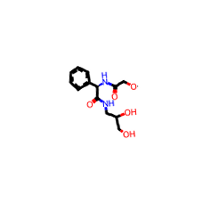 [O]CC(=O)N[C@@H](C(=O)NCC(O)CO)c1ccccc1